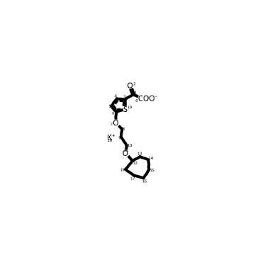 O=C([O-])C(=O)c1ccc(OCCCOC2CCCCCC2)s1.[K+]